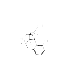 Oc1cccc2c1[C@]13CCN[C@H](C2)[C@@H]1C=CC(O)C3